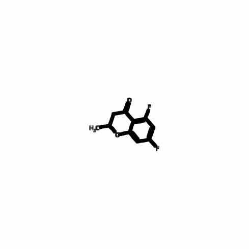 CC1CC(=O)c2c(F)cc(F)cc2O1